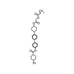 C=CC(=O)OCC(=O)OC1CCC(c2ccc(-c3ccc(OC(=O)C4CCC(CC)CC4)cc3)cc2)CC1